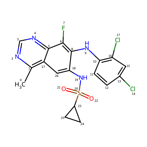 Cc1ncnc2c(F)c(Nc3ccc(Cl)cc3Cl)c(NS(=O)(=O)C3CC3)cc12